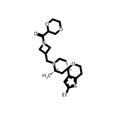 CCc1cc2c(s1)CCO[C@@]21CCN(CC2CN(C(=O)C3COCCO3)C2)[C@@H](C)C1